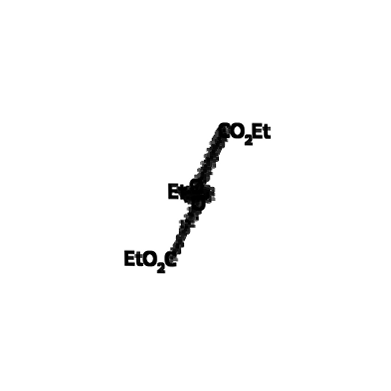 CCOC(=O)CCCCCCCCCCCCCCCCOc1c2ccccc2c(OCCCCCCCCCCCCCCCCC(=O)OCC)c2cc(CC)ccc12